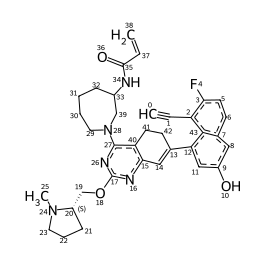 C#Cc1c(F)ccc2cc(O)cc(C3=Cc4nc(OC[C@@H]5CCCN5C)nc(N5CCCCC(NC(=O)C=C)C5)c4CC3)c12